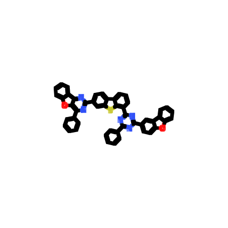 c1ccc(-c2nc(-c3ccc4oc5ccccc5c4c3)nc(-c3cccc4c3sc3cc(-c5nc(-c6ccccc6)c6oc7ccccc7c6n5)ccc34)n2)cc1